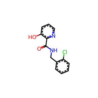 O=C(NCc1ccccc1Cl)c1ncccc1O